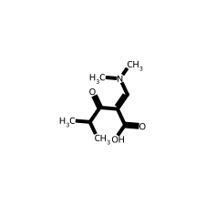 CC(C)C(=O)/C(=C\N(C)C)C(=O)O